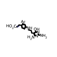 CC(=O)c1cc(NCCCc2c(N)nc(N)nc2O)ccc1/C=C/C(=O)O